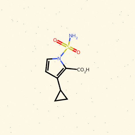 NS(=O)(=O)n1ccc(C2CC2)c1C(=O)O